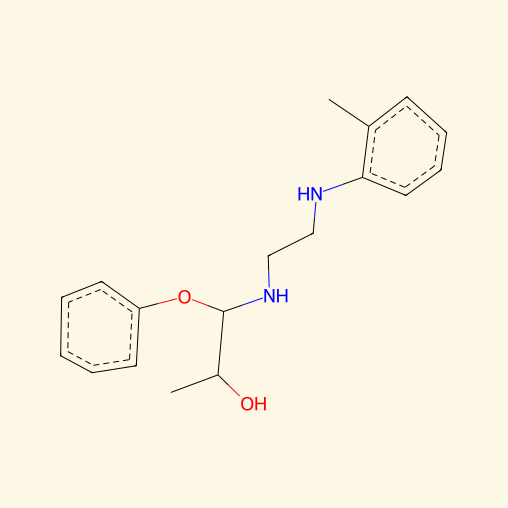 Cc1ccccc1NCCNC(Oc1ccccc1)C(C)O